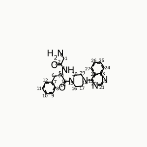 NCC(=O)N[C@H](Cc1ccccc1)C(=O)N1CCN(c2ncnc3ccccc23)CC1